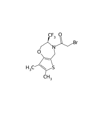 Cc1sc2c(c1C)OC[C@@H](C(F)(F)F)N(C(=O)CBr)C2